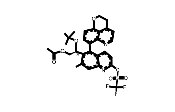 CC(=O)OC[C@@H](OC(C)(C)C)c1c(C)cc2nc(OS(=O)(=O)C(F)(F)F)ccc2c1-c1ccc2c3c(ccnc13)CCO2